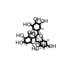 O=C(O)c1cc(O)c(O)c(O)c1C1(O)Cc2c(O)cc(O)cc2OC1c1cc(O)c(O)c(O)c1